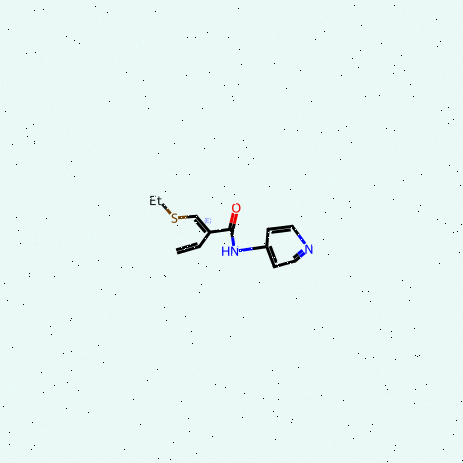 C=C/C(=C\SCC)C(=O)Nc1ccncc1